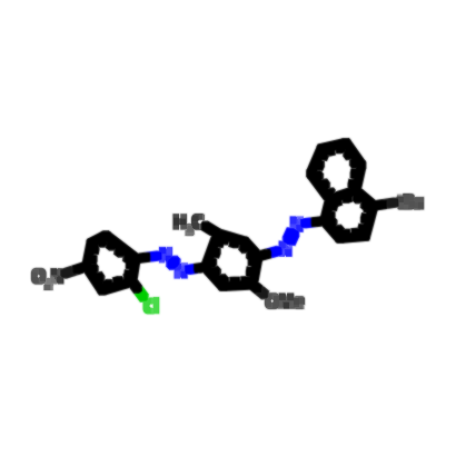 COc1cc(N=Nc2ccc([N+](=O)[O-])cc2Cl)c(C)cc1N=Nc1ccc(C(C)(C)C)c2ccccc12